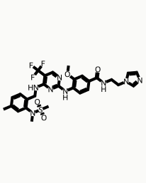 COc1cc(C(=O)NCCn2ccnc2)ccc1Nc1ncc(C(F)(F)F)c(NCc2ccc(C)cc2N(C)S(C)(=O)=O)n1